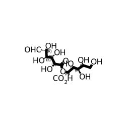 O=C[C@H](O)[C@@H](O)[C@H](O)[C@H](O)C(=O)O[C@@H](C(=O)O)[C@@H](O)[C@H](O)[C@H](O)CO